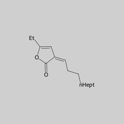 CCCCCCCCCC=C1C=C(CC)OC1=O